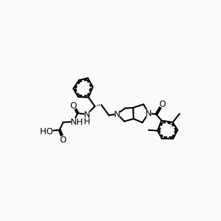 Cc1cccc(C)c1C(=O)N1CC2CN(CC[C@H](NC(=O)NCC(=O)O)c3ccccc3)CC2C1